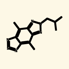 Cc1c2c(c(C)c3nn(CC(C)C)nc13)N=S=N2